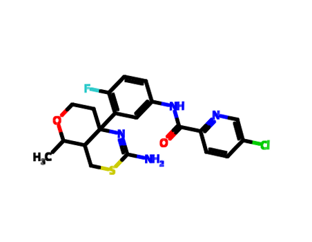 CC1OCCC2(c3cc(NC(=O)c4ccc(Cl)cn4)ccc3F)N=C(N)SCC12